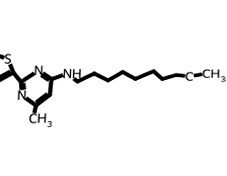 CCCCCCCCCCNc1cc(C)nc(-c2cccs2)n1